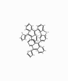 c1csc(-c2c3ccccc3c(-c3ccc4sc5cccc(-c6c7ccccc7c(-c7cccs7)c7ccccc67)c5c4c3)c3ccccc23)c1